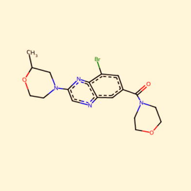 CC1CN(c2cnc3cc(C(=O)N4CCOCC4)cc(Br)c3n2)CCO1